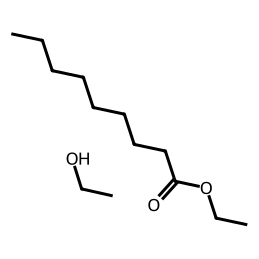 CCCCCCCCC(=O)OCC.CCO